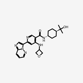 CC(C)(O)[C@H]1CC[C@H](NC(=O)c2cnc(-c3cnc4cccnn34)cc2NC2COC2)CC1